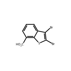 O=C(O)c1cccc2c(Br)c(Br)sc12